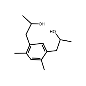 Cc1cc(C)c(CC(C)O)cc1CC(C)O